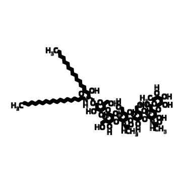 CCCCCCCCCCCCC/C=C/[C@@H](O)[C@H](CO[C@@H]1OC(CO)[C@@H](O[C@@H]2OC(CO)[C@H](O)[C@H](O[C@@H]3OC(CO)[C@@H](O)[C@H](O[C@@H]4OC(CO)[C@H](O)[C@H](O[C@@H]5OC(CO)[C@@H](O[C@H]6OC(C)[C@@H](O)C(O)[C@@H]6O)[C@H](O)C5NC(C)=O)C4O)C3NC(C)=O)C2O)[C@H](O)C1O)NC(=O)CCCCCCCCCCCCCCCCC